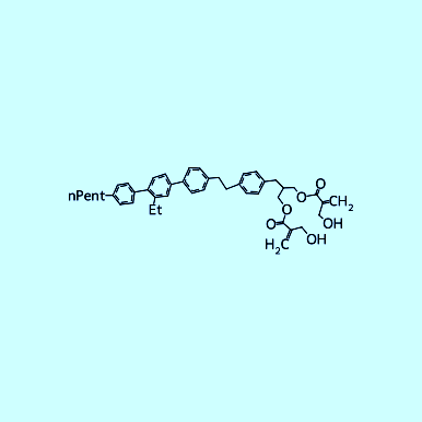 C=C(CO)C(=O)OCC(COC(=O)C(=C)CO)Cc1ccc(CCc2ccc(-c3ccc(-c4ccc(CCCCC)cc4)c(CC)c3)cc2)cc1